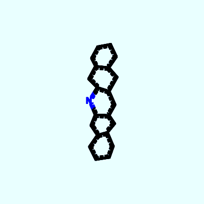 c1ccc2cc3nc4cc5ccccc5cc4cc3cc2c1